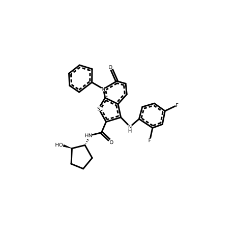 O=C(N[C@@H]1CCC[C@H]1O)c1sc2c(ccc(=O)n2-c2ccccc2)c1Nc1ccc(F)cc1F